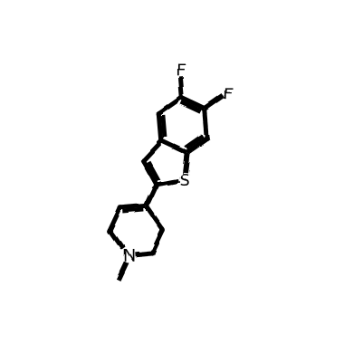 CN1CC=C(c2cc3cc(F)c(F)cc3s2)CC1